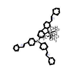 C[Si](C)(C)C1([Si](C)(C)C)c2cc(/C=C/c3ccccc3)ccc2-c2ccc(N(c3ccc(/C=C/c4ccccc4)cc3)c3ccc(/C=C/c4ccccc4)cc3)cc21